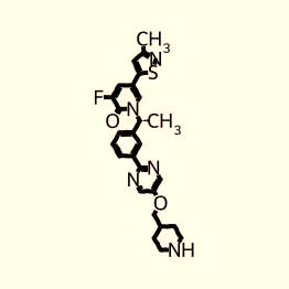 Cc1cc(-c2cc(F)c(=O)n([C@H](C)c3cccc(-c4ncc(OCC5CCNCC5)cn4)c3)c2)sn1